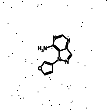 Nc1ncnc2cnn(-c3ccoc3)c12